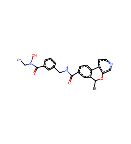 CCC1Oc2cnccc2-c2ccc(C(=O)NCc3cccc(C(=O)N(O)CC(C)C)c3)cc21